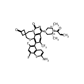 C=CC(=O)N1[C@H](C)CN(c2nc(=O)n3c4c(c(-c5c(F)cc(F)c6c5CC=C(N)S6)c(C(F)(F)F)cc24)SCC2(CC(=O)C2)C3)C[C@@H]1C